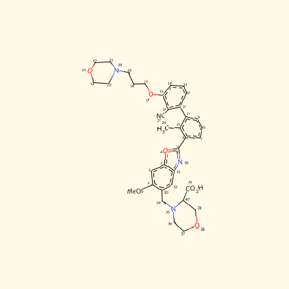 COc1cc2oc(-c3cccc(-c4cccc(OCCCN5CCOCC5)c4C#N)c3C)nc2cc1CN1CCOCC1C(=O)O